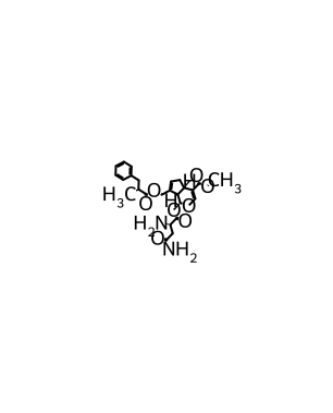 COC(=O)C1=CO[C@@H](OC(=O)[C@@H](N)CC(N)=O)[C@@H]2C(COC(=O)[C@@H](C)Cc3ccccc3)=CC[C@H]12